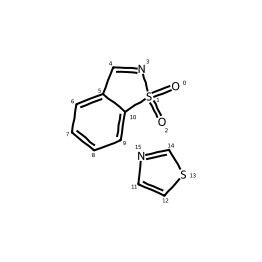 O=S1(=O)N=Cc2ccccc21.c1cscn1